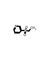 CCS(=O)(=O)c1[c]ccn[c]1